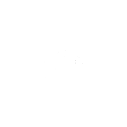 C=CCN(CC=C)CCCC1c2ccccc2CCc2ccccc21